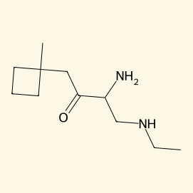 CCNCC(N)C(=O)CC1(C)CCC1